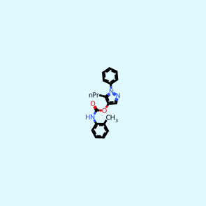 CCCc1c(OC(=O)Nc2ccccc2C)cnn1-c1ccccc1